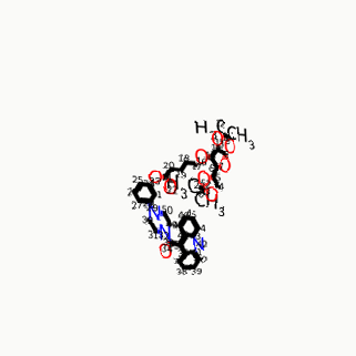 CC1(C)OCC(C2OC3OC(C)(C)OC3C2OCCCCC(=O)Oc2cccc(N3CCN(C(=O)c4c5ccccc5nc5ccccc45)CC3)c2)O1